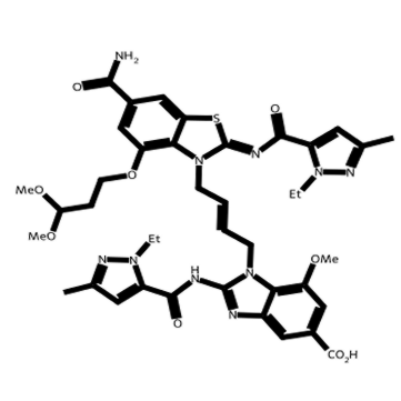 CCn1nc(C)cc1C(=O)/N=c1\sc2cc(C(N)=O)cc(OCCC(OC)OC)c2n1C/C=C/Cn1c(NC(=O)c2cc(C)nn2CC)nc2cc(C(=O)O)cc(OC)c21